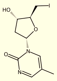 Cc1cnc(=O)n([C@@H]2C[C@H](O)[C@@H](CI)O2)c1